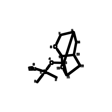 CC(C)(C)[Si](C)(C)OC1C2COC3OC1CC3C2